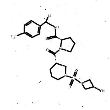 CCC(NC(=O)[C@H]1CCCN1C(=O)[C@H]1CCCN(S(=O)(=O)N2CC(C#N)C2)C1)c1ccc(C(F)(F)F)cc1